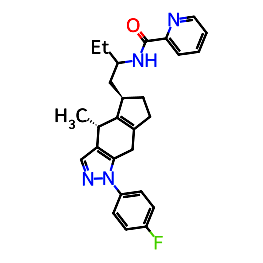 CCC(C[C@H]1CCC2=C1[C@@H](C)c1cnn(-c3ccc(F)cc3)c1C2)NC(=O)c1ccccn1